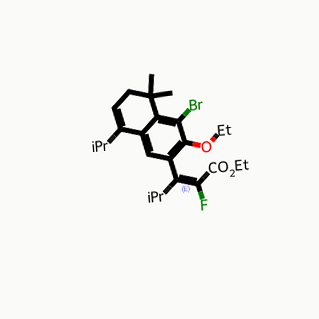 CCOC(=O)/C(F)=C(\c1cc2c(c(Br)c1OCC)C(C)(C)CC=C2C(C)C)C(C)C